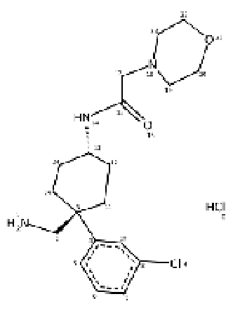 Cl.NC[C@]1(c2cccc(Cl)c2)CC[C@@H](NC(=O)CN2CCOCC2)CC1